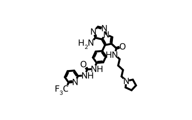 Nc1ncnn2cc(C(=O)NCCCCN3CCCC3)c(-c3ccc(NC(=O)Nc4cccc(C(F)(F)F)n4)cc3)c12